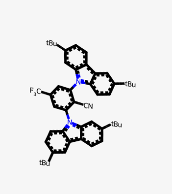 CC(C)(C)c1ccc2c(c1)c1ccc(C(C)(C)C)cc1n2-c1cc(C(F)(F)F)cc(-n2c3ccc(C(C)(C)C)cc3c3ccc(C(C)(C)C)cc32)c1C#N